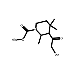 CC(=O)CC(=O)C1C(C)N(C(=O)OC(C)(C)C)CCC1(C)C